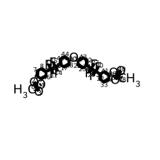 CS(=O)(=O)Oc1cccc(C(F)(F)C(F)(F)c2ccc(Oc3ccc(C(F)(F)C(F)(F)c4cccc(OS(C)(=O)=O)c4)cc3)cc2)c1